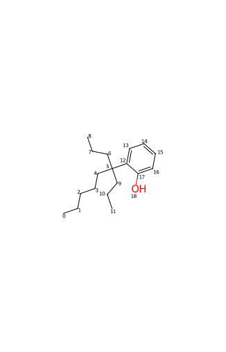 CCCCCC(CCC)(CCC)c1ccccc1O